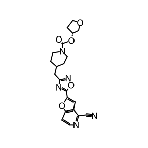 N#Cc1nccc2oc(-c3nc(CC4CCN(C(=O)O[C@@H]5CCOC5)CC4)no3)cc12